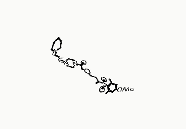 COc1cc(C)c(S(=O)(=O)C(C)CCOCC(=O)N2CCN(CCCN3CCCCC3)CC2)c(C)c1